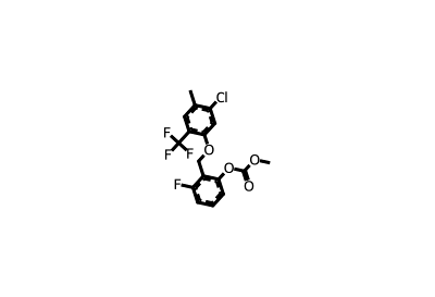 COC(=O)Oc1cccc(F)c1COc1cc(Cl)c(C)cc1C(F)(F)F